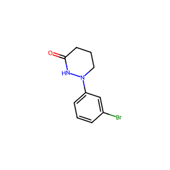 O=C1CCCN(c2cccc(Br)c2)N1